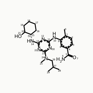 Cc1ccc(C(N)=O)cc1Nc1nc(N[C@H]2CCCCC2O)nc(N(C)CC(C)C)n1